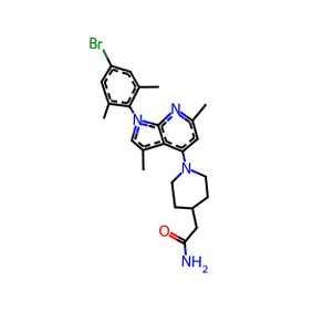 Cc1cc(N2CCC(CC(N)=O)CC2)c2c(C)cn(-c3c(C)cc(Br)cc3C)c2n1